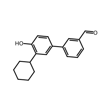 O=Cc1cccc(-c2ccc(O)c(C3CCCCC3)c2)c1